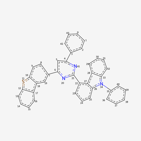 c1ccc(-c2cc(-c3ccc4sc5ccccc5c4c3)nc(-c3cccc4c3c3ccccc3n4-c3ccccc3)n2)cc1